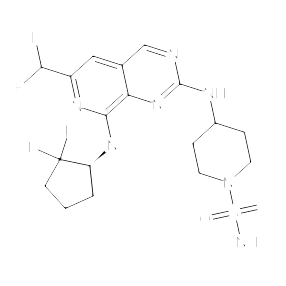 NS(=O)(=O)N1CCC(Nc2ncc3cc(C(F)F)nc(N[C@H]4CCCC4(F)F)c3n2)CC1